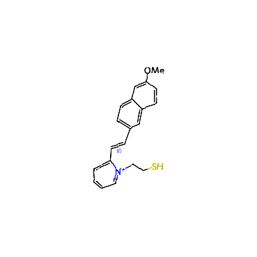 COc1ccc2cc(/C=C/c3cccc[n+]3CCS)ccc2c1